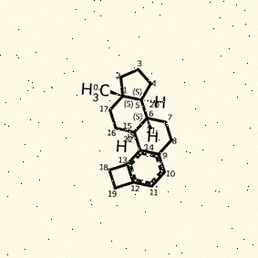 C[C@@]12CCC[C@H]1[C@@H]1CCc3c[c]c4c(c3[C@H]1CC2)CC4